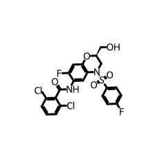 O=C(Nc1cc2c(cc1F)O[C@@H](CO)CN2S(=O)(=O)c1ccc(F)cc1)c1c(Cl)cccc1Cl